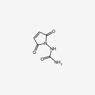 NC(=O)NN1C(=O)C=CC1=O